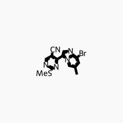 CSc1ncc(C#N)c(-c2cnc3c(Br)cc(C)cn23)n1